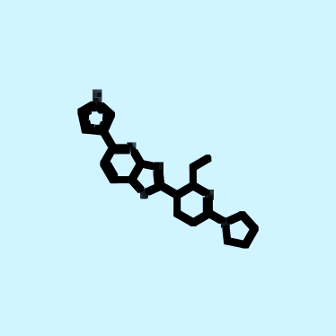 CCC1N=C(N2CCCC2)CCC1C1=NC2N=C(c3cc[nH]c3)C=CC2S1